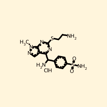 Cl.Cn1ncc2c(C(N)c3ccc(S(N)(=O)=O)cc3)nc(SCCN)nc21